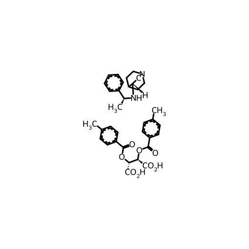 C[C@H](N[C@H]1CN2CCC1CC2)c1ccccc1.Cc1ccc(C(=O)O[C@@H](C(=O)O)[C@@H](OC(=O)c2ccc(C)cc2)C(=O)O)cc1